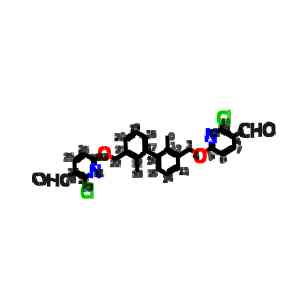 Cc1c(COc2ccc(C=O)c(Cl)n2)cccc1-c1cccc(COc2ccc(C=O)c(Cl)n2)c1C